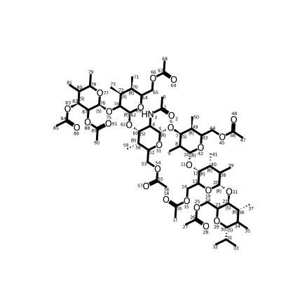 CC(=O)NC1[C@H](O[C@@H]2C(C)[C@@H](O[C@H]3C(COC(C)=O)O[C@@H](O[C@@H]4C(COC(C)=O)O[C@@H](C(C)C)C(C)[C@H]4C)C(C)[C@H]3C)OC(COC(C)=O)[C@@H]2C)OC(COC(C)=O)[C@H](C)[C@@H]1O[C@@H]1OC(COC(C)=O)[C@H](C)[C@H](C)C1O[C@@H]1OC(C)C(C)[C@H](OC(C)=O)C1OC(C)=O